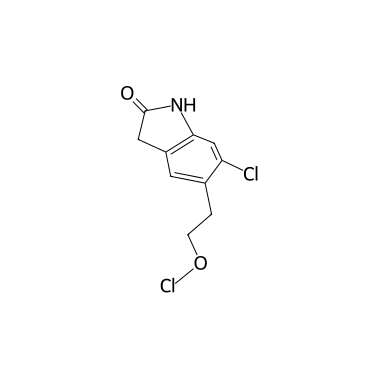 O=C1Cc2cc(CCOCl)c(Cl)cc2N1